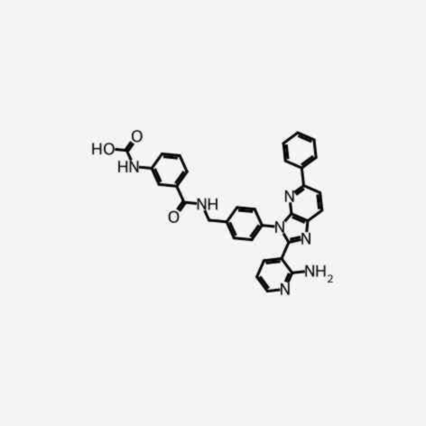 Nc1ncccc1-c1nc2ccc(-c3ccccc3)nc2n1-c1ccc(CNC(=O)c2cccc(NC(=O)O)c2)cc1